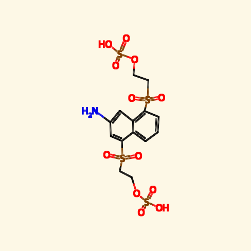 Nc1cc(S(=O)(=O)CCOS(=O)(=O)O)c2cccc(S(=O)(=O)CCOS(=O)(=O)O)c2c1